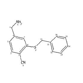 N#Cc1ccc(CN)cc1SCc1ccccc1